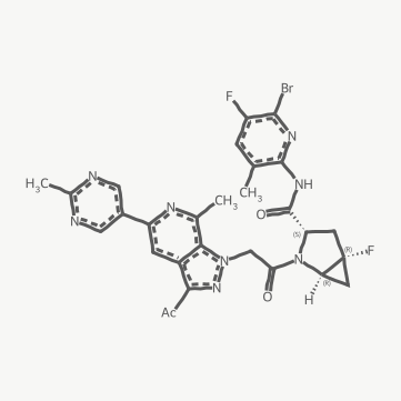 CC(=O)c1nn(CC(=O)N2[C@H](C(=O)Nc3nc(Br)c(F)cc3C)C[C@@]3(F)C[C@@H]23)c2c(C)nc(-c3cnc(C)nc3)cc12